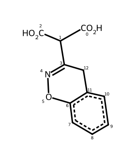 O=C(O)C(C(=O)O)C1=NOc2ccccc2C1